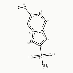 NS(=O)(=O)c1cc2cnc(C=O)cc2o1